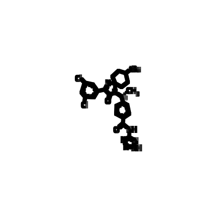 C[C@H](c1ccc(C(=O)Nc2nn[nH]n2)cc1)N1C(=O)C(c2cc(Cl)cc(Cl)c2)=NC12CCC(C(C)(C)C)CC2